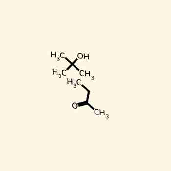 CC(C)(C)O.CCC(C)=O